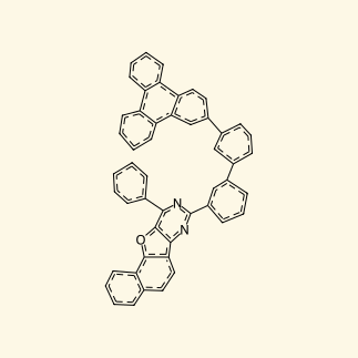 c1ccc(-c2nc(-c3cccc(-c4cccc(-c5ccc6c7ccccc7c7ccccc7c6c5)c4)c3)nc3c2oc2c4ccccc4ccc32)cc1